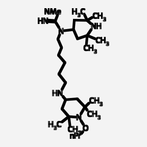 CCCON1C(C)(C)CC(NCCCCCCN(C(=N)NC)C2CC(C)(C)NC(C)(C)C2)CC1(C)C